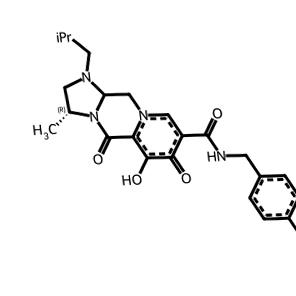 CC(C)CN1C[C@@H](C)N2C(=O)c3c(O)c(=O)c(C(=O)NCc4ccc(F)cc4)cn3CC12